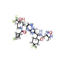 Cc1nonc1C(=O)N[C@H](c1cn2ncc([C@H]3C[C@](O)(C(F)F)CCN3C(=O)C34CC(F)(C3)C4)nc2n1)C1CCC(F)(F)CC1